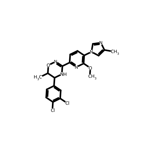 COc1nc(C2=NOC(C)C(c3ccc(Cl)c(Cl)c3)N2)ccc1-n1cnc(C)c1